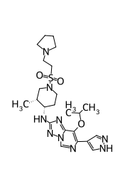 CC(C)Oc1c(-c2cn[nH]c2)ncn2nc(N[C@H]3CCN(S(=O)(=O)CCN4CCCC4)C[C@H]3C)nc12